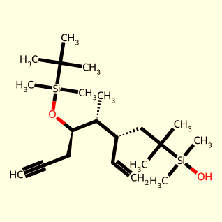 C#CC[C@@H](O[Si](C)(C)C(C)(C)C)[C@H](C)[C@@H](C=C)CC(C)(C)[Si](C)(C)O